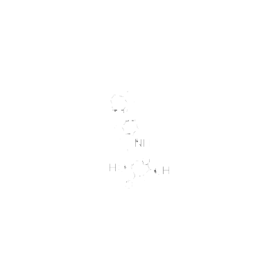 Cc1cc(=O)c(O)c(CNc2ccc(-c3ccccc3)cc2)o1